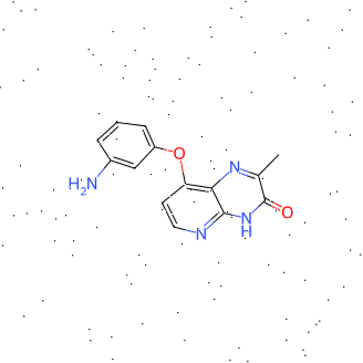 Cc1nc2c(Oc3cccc(N)c3)ccnc2[nH]c1=O